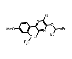 CCCC(CC)Oc1nc(CC)c(-c2ccc(OC)cc2OC(F)(F)F)nc1CC